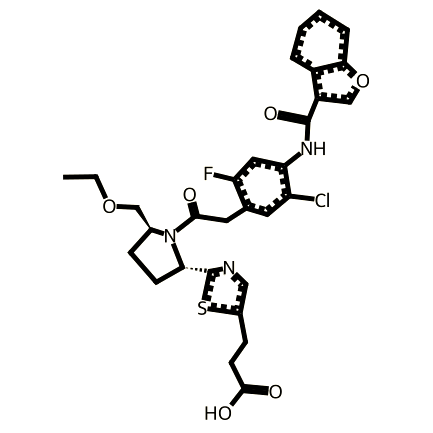 CCOC[C@@H]1CC[C@@H](c2ncc(CCC(=O)O)s2)N1C(=O)Cc1cc(Cl)c(NC(=O)c2coc3ccccc23)cc1F